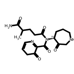 CC(C[CH]C(=O)N(C(=O)C1=NC=CCC1=O)[C@H]1CCCNCC1=O)C(N)=O